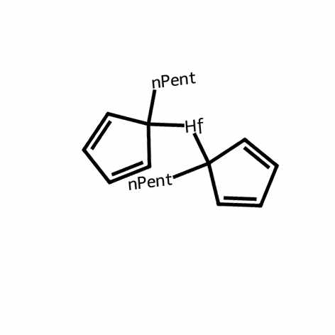 CCCCC[C]1([Hf][C]2(CCCCC)C=CC=C2)C=CC=C1